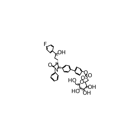 O=C1[C@H](CC[C@H](O)c2ccc(F)cc2)[C@@H](c2ccc(-c3ccc(OS(=O)(=O)CC4O[C@H](CO)[C@@H](O)[C@H](O)[C@H]4O)cc3)cc2)N1c1ccccc1